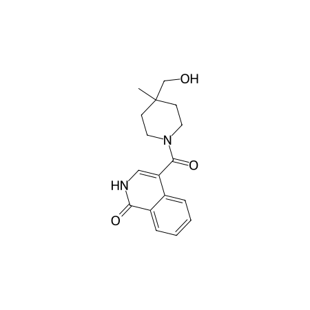 CC1(CO)CCN(C(=O)c2c[nH]c(=O)c3ccccc23)CC1